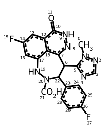 Cn1ncnc1C1c2n[nH]c(=O)c3cc(F)cc(c23)NN(C(=O)O)C1c1ccc(F)cc1